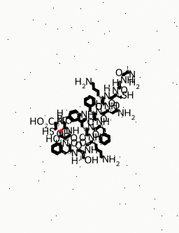 C[C@H](N)C(=O)NCC(=O)N[C@@H](CS)C(=O)N[C@@H](CCCCN)C(=O)N[C@@H](CC(N)=O)C(=O)N[C@@H](Cc1ccccc1)C(=O)N[C@@H](Cc1ccccc1)C(=O)N[C@@H](Cc1c[nH]c2ccc(Br)cc12)C(=O)N[C@@H](CCCCN)C(=O)N[C@H](C(=O)N[C@@H](Cc1ccccc1)C(=O)N[C@H](C(=O)N[C@@H](CO)C(=O)N[C@@H](CS)C(=O)O)[C@@H](C)O)[C@@H](C)O